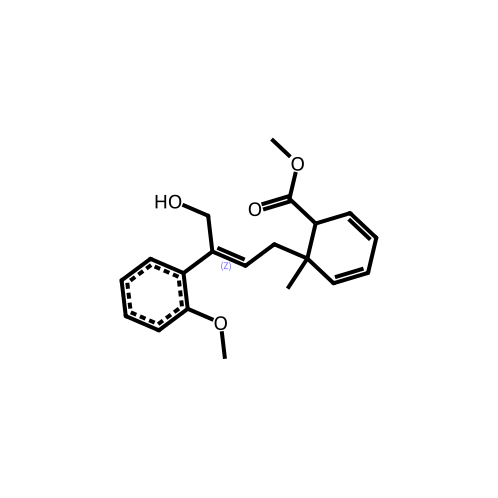 COC(=O)C1C=CC=CC1(C)C/C=C(\CO)c1ccccc1OC